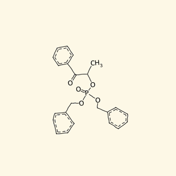 CC(OP(=O)(OCc1ccccc1)OCc1ccccc1)C(=O)c1ccccc1